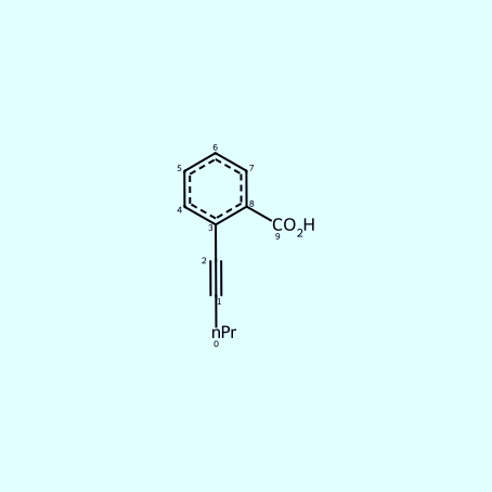 CCCC#Cc1ccccc1C(=O)O